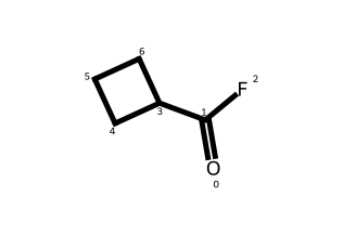 O=C(F)C1CCC1